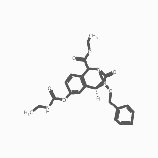 CCNC(=O)Oc1ccc2c(c1)[C@H]1CN(C(=O)N1OCc1ccccc1)C2C(=O)OCC